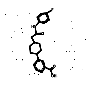 O=C(CC1CCC(c2cccc(C(=O)O)c2)CC1)Nc1ccc(F)cc1